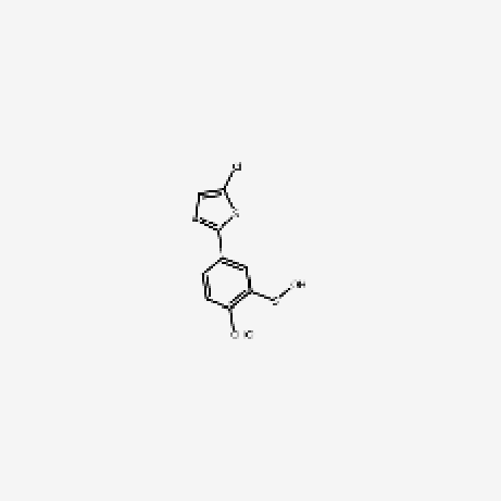 O=Cc1ccc(-c2ccc(Cl)s2)cc1SO